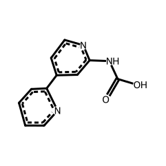 O=C(O)Nc1cc(-c2ccccn2)ccn1